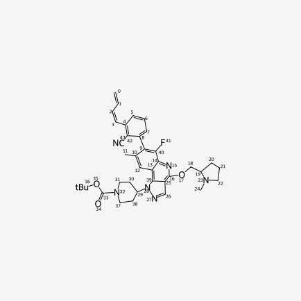 C=C/C=C\c1cccc(-c2c(C)cc3c(nc(OCC4CCCN4C)c4cnn(C5CCN(C(=O)OC(C)(C)C)CC5)c43)c2F)c1C#N